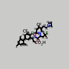 Cc1cc(C)c(-c2cc(C(CC(=O)O)NC(=O)C(CC(C)(C)F)n3cc(CCN4CCC4)c(C(F)(F)F)cc3=O)c(F)c(C(F)(F)F)c2)c(C)c1